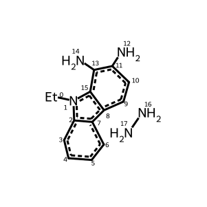 CCn1c2ccccc2c2ccc(N)c(N)c21.NN